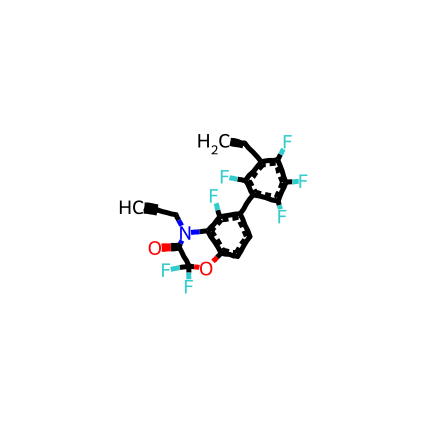 C#CCN1C(=O)C(F)(F)Oc2ccc(-c3c(F)c(F)c(F)c(C=C)c3F)c(F)c21